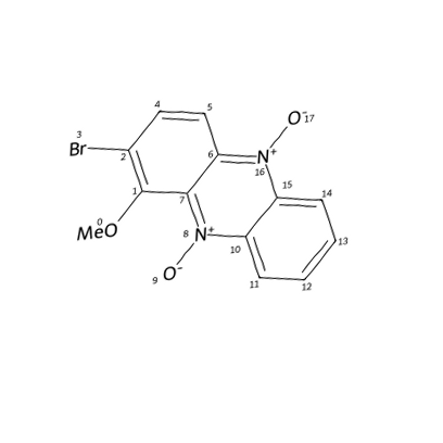 COc1c(Br)ccc2c1[n+]([O-])c1ccccc1[n+]2[O-]